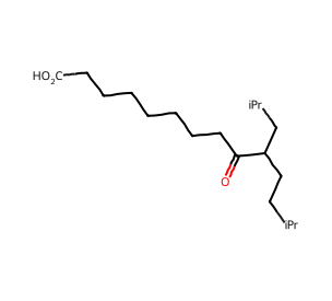 CC(C)CCC(CC(C)C)C(=O)CCCCCCCC(=O)O